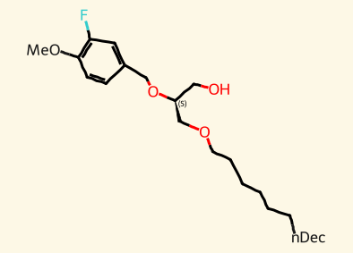 CCCCCCCCCCCCCCCCOC[C@H](CO)OCc1ccc(OC)c(F)c1